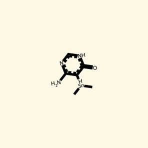 [CH3][SnH]([CH3])[c]1c(N)nc[nH]c1=O